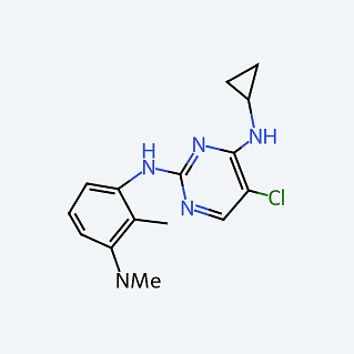 CNc1cccc(Nc2ncc(Cl)c(NC3CC3)n2)c1C